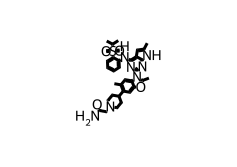 Cc1cc2c(Nc3ccccc3S(=O)(=O)C(C)C)nc(N3c4cc(C)c(C5CCN(CC(N)=O)CC5)cc4OC3C)nc2[nH]1